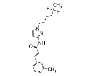 Cc1cccc(C=CC(=O)Nc2ccn(CCCCC(C)(F)F)n2)c1